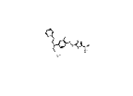 CCN(CC[n+]1ccccc1)c1ccc(/N=N/c2ncc([N+](=O)[O-])s2)c(C)c1.[Br-]